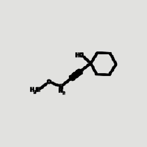 OC1(C#C[SiH2]O[SiH3])CCCCC1